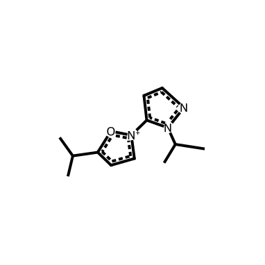 CC(C)c1cc[n+](-c2ccnn2C(C)C)o1